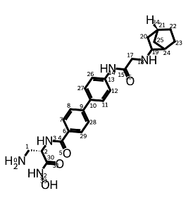 NC[C@H](NC(=O)c1ccc(-c2ccc(NC(=O)CNC3C[C@@H]4CCC3C4)cc2)cc1)C(=O)NO